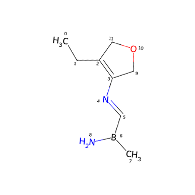 CCC1=C(/N=C/B(C)N)COC1